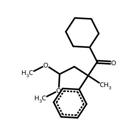 COC(CC(C)(C(=O)C1CCCCC1)c1ccccc1)OC